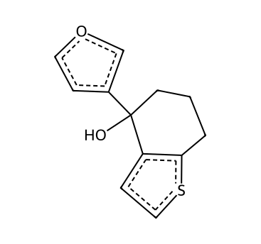 OC1(c2ccoc2)CCCc2sccc21